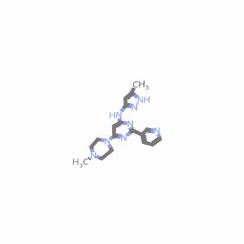 Cc1cc(Nc2cc(N3CCN(C)CC3)nc(-c3cccnc3)n2)n[nH]1